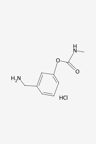 CNC(=O)Oc1cccc(CN)c1.Cl